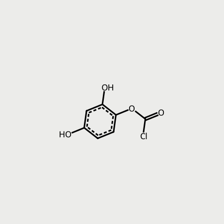 O=C(Cl)Oc1ccc(O)cc1O